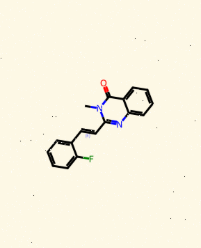 Cn1c(/C=C/c2ccccc2F)nc2ccccc2c1=O